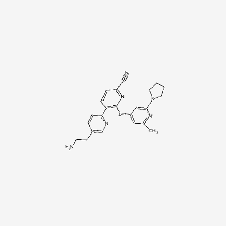 Cc1cc(Oc2nc(C#N)ccc2-c2ccc(CCN)cn2)cc(N2CCCC2)n1